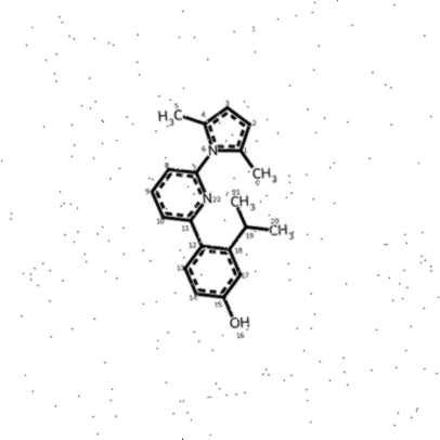 Cc1ccc(C)n1-c1cccc(-c2ccc(O)cc2C(C)C)n1